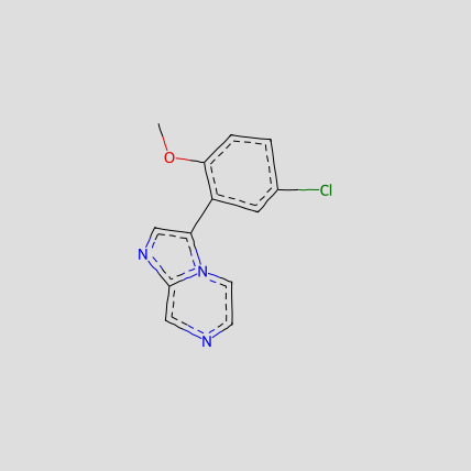 COc1ccc(Cl)cc1-c1cnc2cnccn12